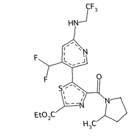 CCOC(=O)c1nc(C(=O)N2CCCC2C)c(-c2cnc(NCC(F)(F)F)cc2C(F)F)s1